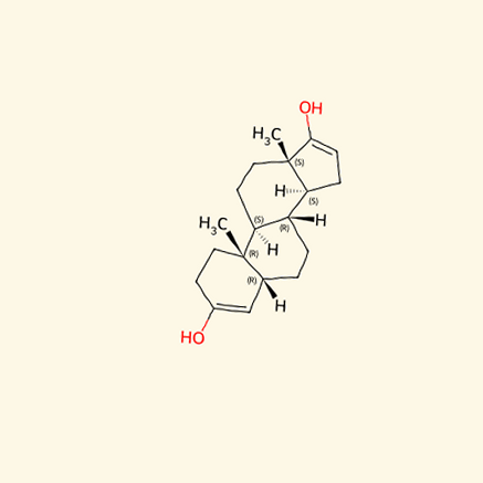 C[C@]12CCC(O)=C[C@H]1CC[C@@H]1[C@@H]2CC[C@]2(C)C(O)=CC[C@@H]12